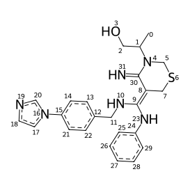 CC(CO)N1CSC/C(=C(/NCc2ccc(-n3ccnc3)cc2)Nc2ccccc2)C1=N